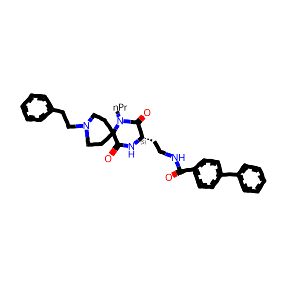 CCCN1C(=O)[C@H](CCNC(=O)c2ccc(-c3ccccc3)cc2)NC(=O)C12CCN(CCc1ccccc1)CC2